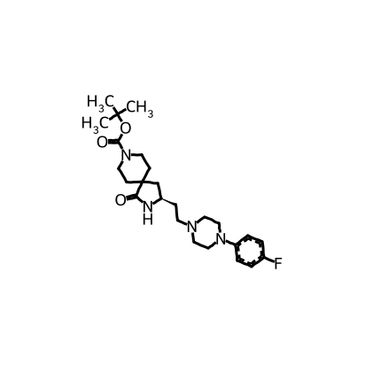 CC(C)(C)OC(=O)N1CCC2(CC1)C[C@@H](CCN1CCN(c3ccc(F)cc3)CC1)NC2=O